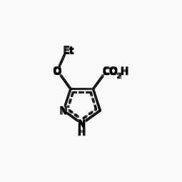 CCOc1n[nH]cc1C(=O)O